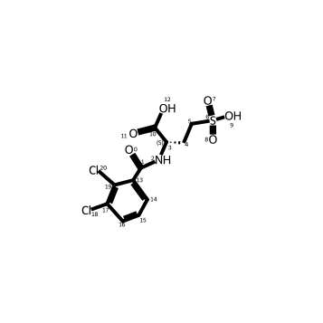 O=C(N[C@@H](CCS(=O)(=O)O)C(=O)O)c1cccc(Cl)c1Cl